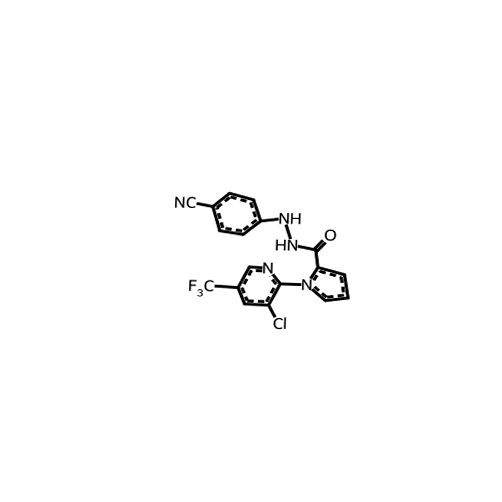 N#Cc1ccc(NNC(=O)c2cccn2-c2ncc(C(F)(F)F)cc2Cl)cc1